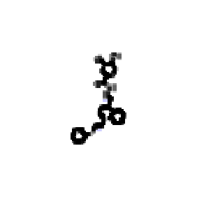 O=C(N/N=C/c1ccc(/C=C/Cc2ccccc2)c2ccccc12)c1ccc(O)c(Cl)c1